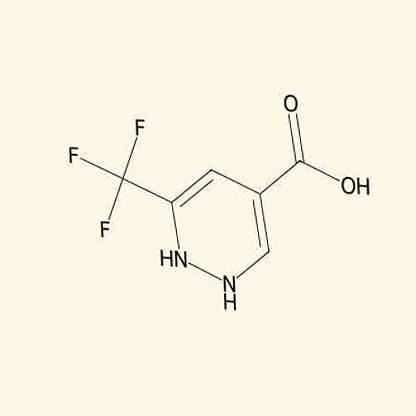 O=C(O)C1=CNNC(C(F)(F)F)=C1